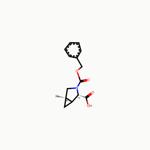 O=C(O)[C@@H]1C2C[C@H]2CN1C(=O)OCc1ccccc1